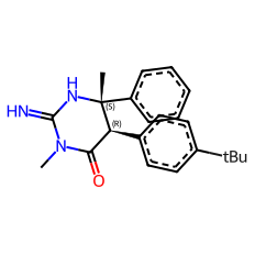 CN1C(=N)N[C@](C)(c2ccccc2)[C@@H](c2ccc(C(C)(C)C)cc2)C1=O